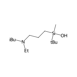 CCC(C)N(CC)CCC[Si](C)(O)C(C)(C)C